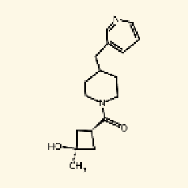 C[C@]1(O)C[C@@H](C(=O)N2CCC(Cc3cccnc3)CC2)C1